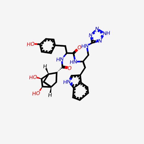 O=C(NC(CNc1nn[nH]n1)Cc1c[nH]c2ccccc12)C(Cc1ccc(O)cc1)NC(=O)[C@@H]1C[C@H]2C[C@@H]1[C@H](O)[C@@H]2O